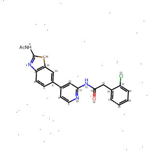 CC(=O)Nc1nc2ccc(-c3ccnc(NC(=O)Cc4ccccc4Cl)c3)cc2s1